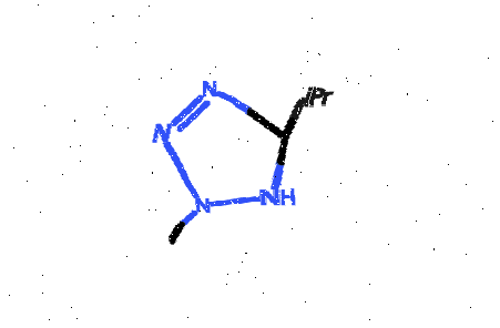 CC(C)C1N=NN(C)N1